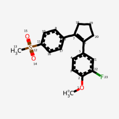 COc1ccc(C2=C(c3ccc(S(C)(=O)=O)cc3)CCC2)cc1F